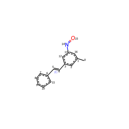 Cc1cc(/C=C/c2ccccc2)cc(N=O)c1